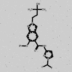 CC(C)Oc1cc2nn(CCC(C)(C)O)cc2cc1C(=O)Nc1ccn(C(F)F)n1